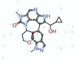 Cn1ncc2cc(-c3c(C(O)C4CC4)[nH]c4ncc5c(c34)n(C3CCOCC3)c(=O)n5C)ccc21